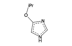 CC(C)Oc1c[nH]cn1